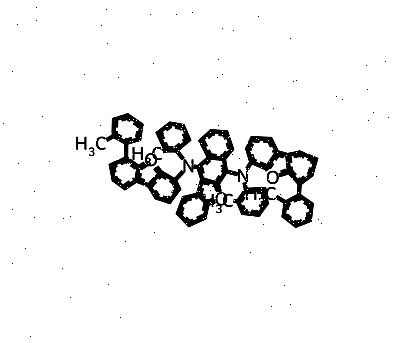 Cc1ccccc1-c1cccc2c1oc1c(N(c3ccccc3C)c3c4ccccc4c(N(c4ccccc4C)c4cccc5c4oc4c(-c6ccccc6C)cccc45)c4c3oc3ccccc34)cccc12